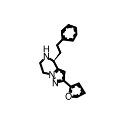 c1ccc(CC[C@@H]2NCCn3nc(-c4ccco4)cc32)cc1